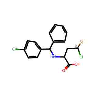 O=C(O)C(C[C@@H](S)Cl)NC(c1ccccc1)c1ccc(Cl)cc1